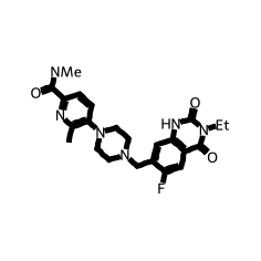 CCn1c(=O)[nH]c2cc(CN3CCN(c4ccc(C(=O)NC)nc4C)CC3)c(F)cc2c1=O